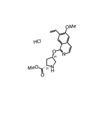 C=Cc1cc2c(O[C@H]3CN[C@H](C(=O)OC)C3)nccc2cc1OC.Cl